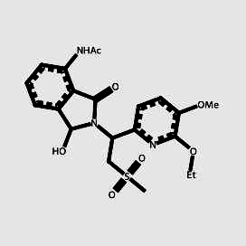 CCOc1nc(C(CS(C)(=O)=O)N2C(=O)c3c(NC(C)=O)cccc3C2O)ccc1OC